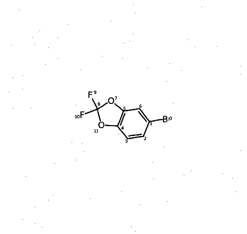 [B]c1ccc2c(c1)OC(F)(F)O2